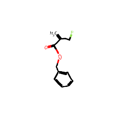 C=C(CF)C(=O)OCc1ccccc1